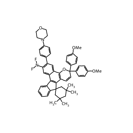 COc1ccc(C2(c3ccc(OC)cc3)C=Cc3c4c(c5cc(N(F)F)c(-c6ccc(N7CCOCC7)cc6)cc5c3O2)-c2ccccc2C42CC(C)(C)CC(C)(C)C2)cc1